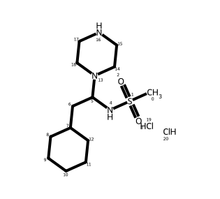 CS(=O)(=O)NC(CC1CCCCC1)N1CCNCC1.Cl.Cl